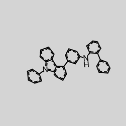 c1ccc(-c2ccccc2Nc2cccc(-c3cccc4c3c3ccccc3n4-c3ccccc3)c2)cc1